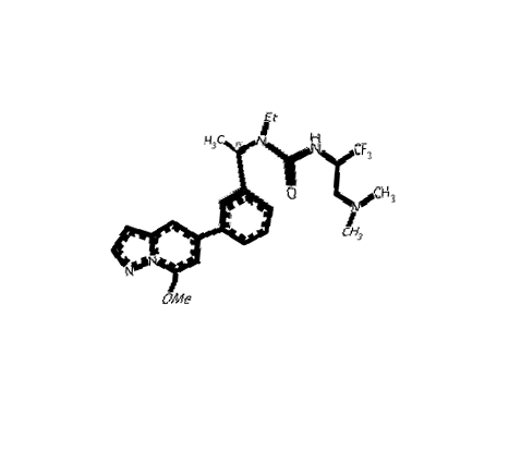 CCN(C(=O)NC(CN(C)C)C(F)(F)F)[C@H](C)c1cccc(-c2cc(OC)n3nccc3c2)c1